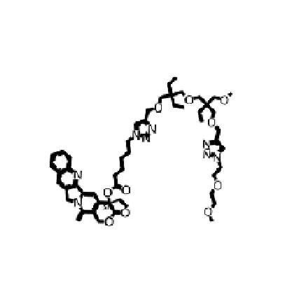 C=C1C2=C(C=C3c4nc5ccccc5cc4CN13)[C@](CC)(OC(=O)CCCCCn1cc(COCC(CC)(CC)COCC(CC)(COC)COCc3cn(CCOCCOC)nn3)nn1)C(=O)OC2